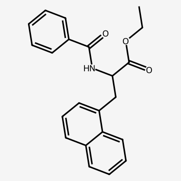 CCOC(=O)C(Cc1cccc2ccccc12)NC(=O)c1ccccc1